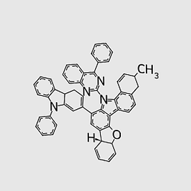 CC1C=Cc2c(ccc3c4c5c(cc(C6=CCC7C(=C6)N(c6ccccc6)c6ccccc67)c4n(-c4nc(-c6ccccc6)c6ccccc6n4)c23)[C@H]2C=CC=CC2O5)C1